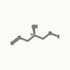 O=NC[C@@H](O)COI